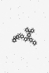 CC1(C)c2ccc(-c3cccc(N(c4ccc(-c5ccccc5)cc4)c4ccc(N(c5ccccc5)c5ccccc5)cc4)c3)cc2-c2cc3c(cc21)oc1ccccc13